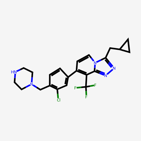 FC(F)(F)c1c(-c2ccc(CN3CCNCC3)c(Cl)c2)ccn2c(CC3CC3)nnc12